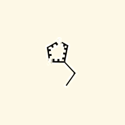 C[CH]c1cscn1